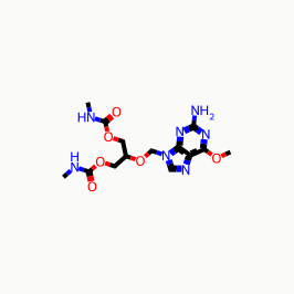 CNC(=O)OCC(COC(=O)NC)OCn1cnc2c(OC)nc(N)nc21